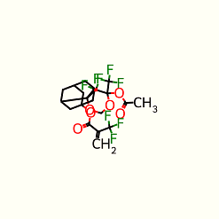 C=C(C(=O)OC12CC3CC(C1)C1(OCOC(OC(C)=O)(C(F)(F)F)C1(F)F)C(C3)C2)C(F)(F)F